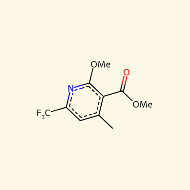 COC(=O)c1c(C)cc(C(F)(F)F)nc1OC